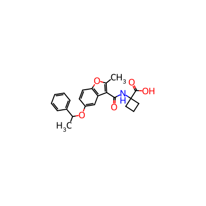 Cc1oc2ccc(OC(C)c3ccccc3)cc2c1C(=O)NC1(C(=O)O)CCC1